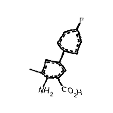 Cc1cc(-c2ccc(F)cc2)cc(C(=O)O)c1N